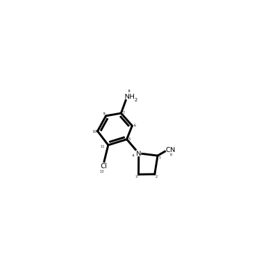 N#CC1CCN1c1cc(N)ccc1Cl